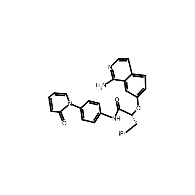 CC(C)C[C@@H](Oc1ccc2ccnc(N)c2c1)C(=O)Nc1ccc(-n2ccccc2=O)cc1